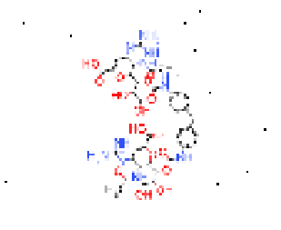 CC(=O)N[C@H]1[C@H]([C@H](OC(=O)Nc2ccc(Cc3ccc(NC(=O)O[C@@H]([C@@H]4OC(C(=O)O)=C[C@H](NC(=N)N)[C@H]4NC(C)=O)[C@H](O)CO)cc3)cc2)[C@H](O)CO)OC(C(=O)O)=C[C@@H]1NC(=N)N